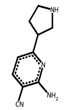 N#Cc1ccc(C2CCNC2)nc1N